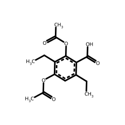 CCc1cc(OC(C)=O)c(CC)c(OC(C)=O)c1C(=O)O